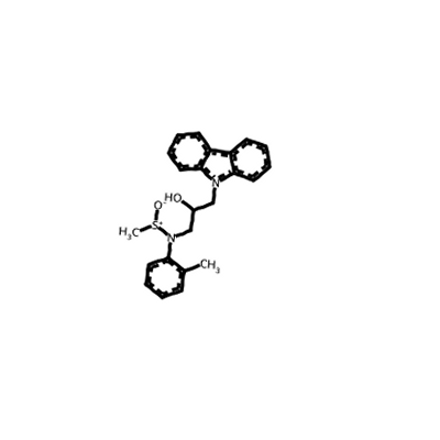 Cc1ccccc1N(CC(O)Cn1c2ccccc2c2ccccc21)[S+](C)[O-]